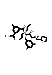 CCC[N+](CCC)(C(=O)c1cc(C)cc(C(N)=O)c1)[C@@H](Cc1cc(F)cc(F)c1)[C@H](O)CNCC1CCCO1